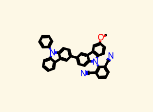 COc1ccc2c(c1)c1cc(-c3ccc4c(c3)c3ccccc3n4-c3ccccc3)ccc1n2-c1c(C#N)cccc1C#N